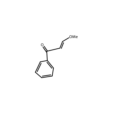 COC=CC(=O)c1ccccc1